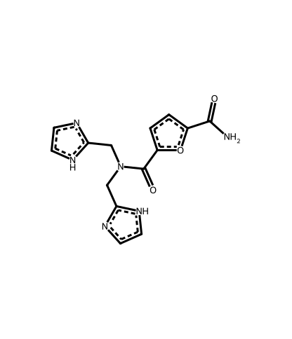 NC(=O)c1ccc(C(=O)N(Cc2ncc[nH]2)Cc2ncc[nH]2)o1